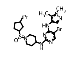 Cc1c(Nc2nc(NC3CCN([S+]([O-])C4CCC(C(C)C)C4)CC3)ncc2Br)cnn1C